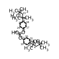 CC(C)(C)CC(C)(C)c1ccc(OP(O)Oc2ccc(C(C)(C)CC(C)(C)C)cc2)cc1